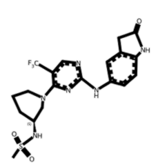 CS(=O)(=O)N[C@H]1CCCN(c2nc(Nc3ccc4c(c3)CC(=O)N4)ncc2C(F)(F)F)C1